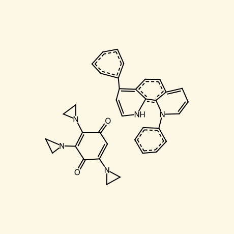 C1=CN(c2ccccc2)c2c3c(ccc2=C1)=C(c1ccccc1)C=CN3.O=C1C=C(N2CC2)C(=O)C(N2CC2)=C1N1CC1